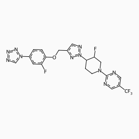 Fc1cc(-n2cnnn2)ccc1OCc1cnn(C2CCN(c3ncc(C(F)(F)F)cn3)CC2F)n1